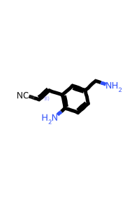 N#C/C=C/c1cc(CN)ccc1N